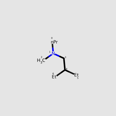 CCCN(C)CC(CC)CC